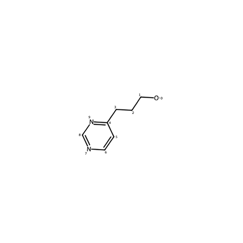 [O]CCCc1ccncn1